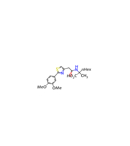 CCCCCCC(C)(NC(=O)Cc1csc(-c2ccc(OC)c(OC)c2)n1)C(=O)O